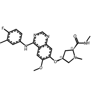 CNC(=O)[C@@H]1C[C@H](Oc2cc3ncnc(Nc4ccc(F)c(Cl)c4)c3cc2OC)CN1C